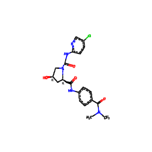 CN(C)C(=O)c1ccc(NC(=O)[C@H]2C[C@@H](O)CN2C(=O)Nc2ccc(Cl)cn2)cc1